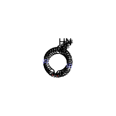 C=C1OCCCCC/C=C\CCCCCCCCC(OC(=O)CC(C)(C)C(C)(C)CNC)CCCCCCCC/C=C\CCCCCOC(=C)C1(C)C